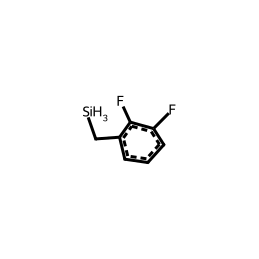 Fc1cccc(C[SiH3])c1F